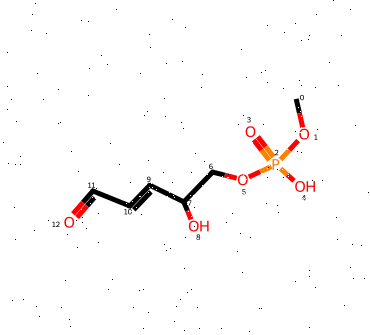 COP(=O)(O)OCC(O)C=CC=O